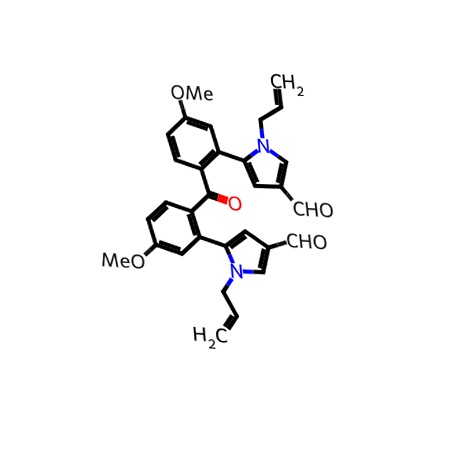 C=CCn1cc(C=O)cc1-c1cc(OC)ccc1C(=O)c1ccc(OC)cc1-c1cc(C=O)cn1CC=C